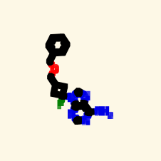 Nc1ncnc2c1ncn2C1(F)CC(COCc2ccccc2)C1